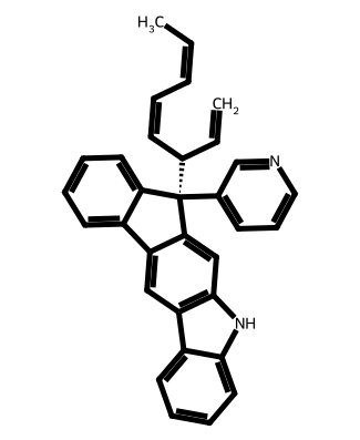 C=CC(/C=C\C=C/C)[C@@]1(c2cccnc2)c2ccccc2-c2cc3c(cc21)[nH]c1ccccc13